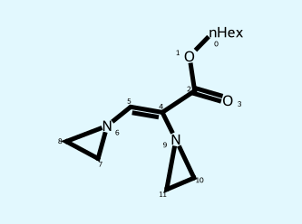 CCCCCCOC(=O)C(=CN1CC1)N1CC1